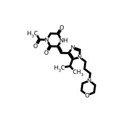 CC(=O)N1CC(=O)NC(=Cc2ncn(CCCN3CCOCC3)c2C(C)C)C1=O